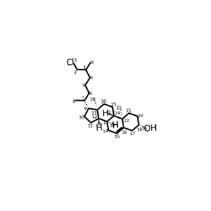 CC(CCl)CCCC(C)[C@H]1CC[C@H]2[C@@H]3CC=C4C[C@@H](O)CC[C@]4(C)[C@H]3CC[C@]12C